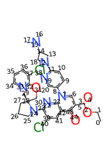 CCOC(=O)c1cn(-c2ccc(N3CC(N(C)C)C3)nc2)c2nc(N3CCC[C@]3(C)COc3ncccc3Cl)c(Cl)cc2c1=O